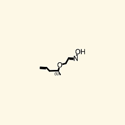 C=CC[C@H](C)OCC=NO